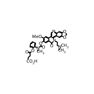 COc1cc2c(cc1OC(=O)N(C)c1ccccc1OC(=O)CCC(=O)O)c(=O)n(CCN(C)C)c1c3cc4c(cc3ncc21)OCO4